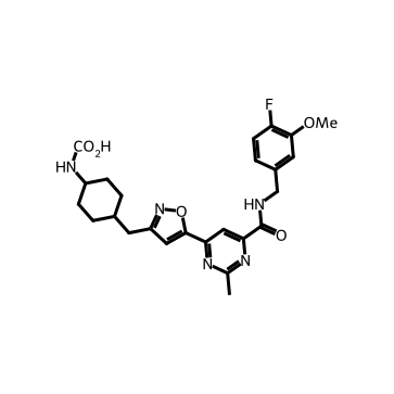 COc1cc(CNC(=O)c2cc(-c3cc(CC4CCC(NC(=O)O)CC4)no3)nc(C)n2)ccc1F